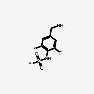 CCS(=O)(=O)Nc1c(F)cc(CN)cc1F